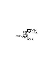 CCCCCCCCSc1nc(Nc2ccc(OC(=O)OC(C)(C)C)cc2)nc(SCCCCCCCC)n1